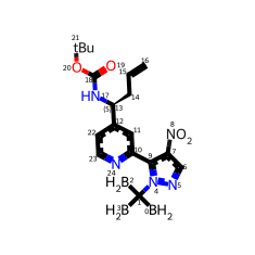 BC(B)(B)n1ncc([N+](=O)[O-])c1-c1cc([C@H](CC=C)NC(=O)OC(C)(C)C)ccn1